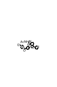 CCN1CCN(C(=O)c2ccc(-n3nc(-c4cccnc4)c4c3-c3sc(NC(C)=O)nc3CC4)c(Cl)c2)CC1